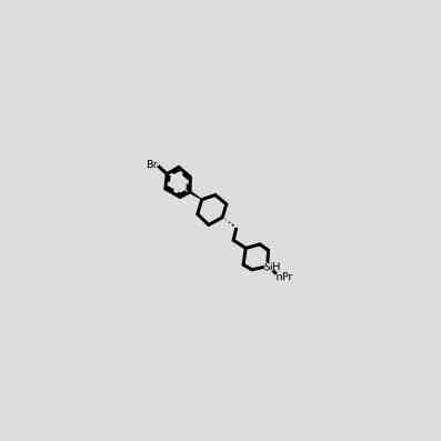 CCC[SiH]1CCC(CC[C@H]2CC[C@H](c3ccc(Br)cc3)CC2)CC1